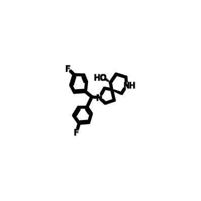 O[C@@H]1CCNC[C@]12CCN(C(c1ccc(F)cc1)c1ccc(F)cc1)C2